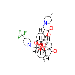 C=C1CC[C@H]2C(CN3CCC(C)CC3)C(=O)O[C@@H]2[C@@H]2[C@H]1C[C@@]1(O)[C@]2(O)CC[C@]12C(=O)C[C@H]1C(=C)CC[C@H]3C(CN4CCC(C(F)(F)F)CC4)C(=O)O[C@@H]3[C@H]12